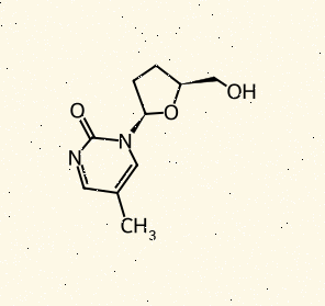 Cc1cnc(=O)n([C@H]2CC[C@@H](CO)O2)c1